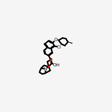 C[C@H]1CC[C@@H](Oc2ccc3ccc(CCCN4C5CCC4CC(C(=O)O)C5)cc3c2Cl)CC1